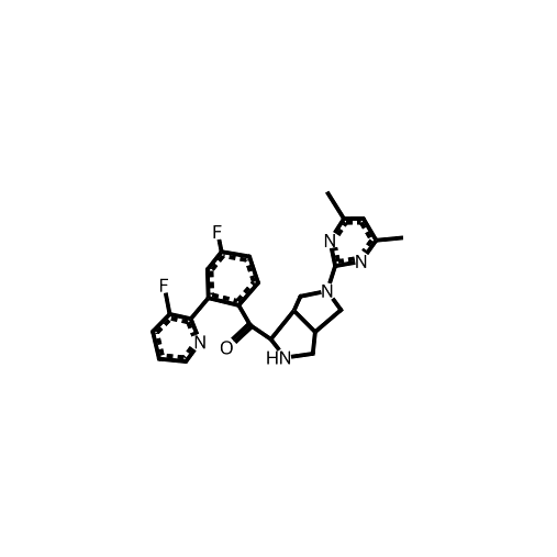 Cc1cc(C)nc(N2CC3CNC(C(=O)c4ccc(F)cc4-c4ncccc4F)C3C2)n1